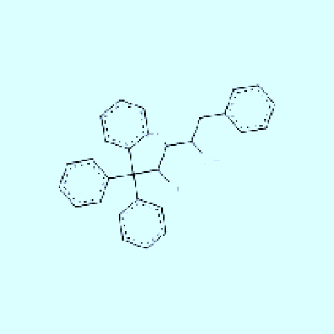 OC(Cc1ccccc1)C(O)C(O)C(c1ccccc1)(c1ccccc1)c1ccccc1